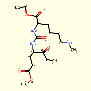 CCOC(=O)C(CCCCNC)NC(=O)NC(CCC(=O)OC)C(=O)CC